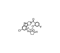 CN1[C@H]2CC[C@@H]1C(F)[C@H](Oc1cc(F)ccc1C(=O)N1Cc3nn4cc(Cl)cnc4c3C1)C2